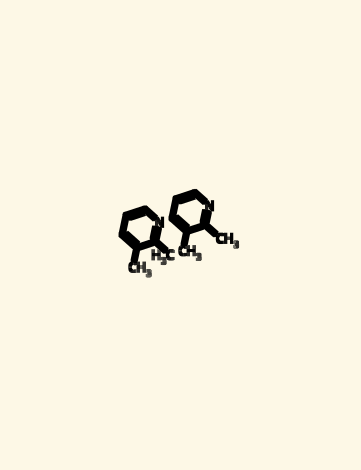 Cc1cccnc1C.Cc1cccnc1C